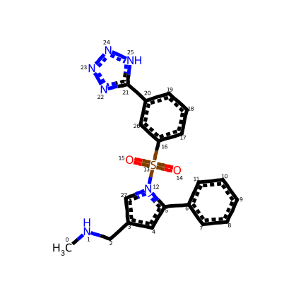 CNCc1cc(-c2ccccc2)n(S(=O)(=O)c2cccc(-c3nnn[nH]3)c2)c1